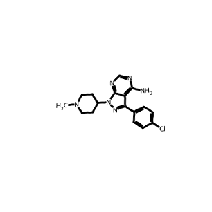 CN1CCC(n2nc(-c3ccc(Cl)cc3)c3c(N)ncnc32)CC1